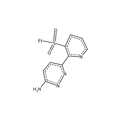 CCS(=O)(=O)c1cccnc1-c1ccc(N)nn1